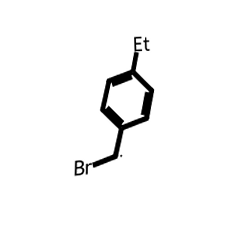 CCc1ccc([CH]Br)cc1